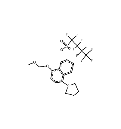 COCOc1ccc([S+]2CCCC2)c2ccccc12.O=S(=O)([O-])C(F)(F)C(F)(F)C(F)(F)C(F)(F)F